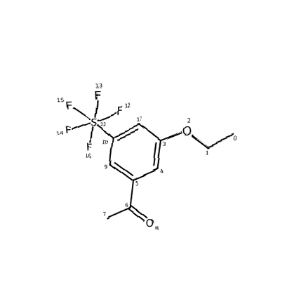 CCOc1cc(C(C)=O)cc(S(F)(F)(F)(F)F)c1